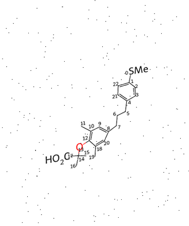 CSc1ccc(CCCc2cc(C)c(OC(C)(C)C(=O)O)c(C)c2)cc1